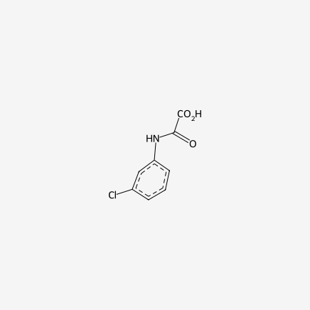 O=C(O)C(=O)Nc1cccc(Cl)c1